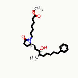 COC(=O)CCCCCCN1C(=O)CC[C@@H]1CC[C@@H](O)[C@H](C)CCCCCc1ccccc1